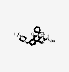 CCCCNc1ncc2c3ccc(CN4CCN(C)CC4)cc3c(=O)n(C3(C#N)CCCCC3)c2n1